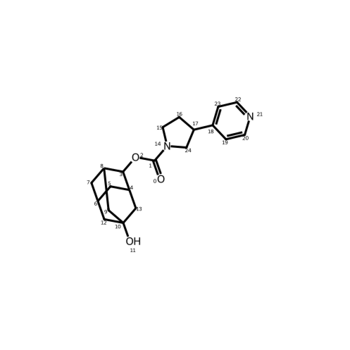 O=C(OC1C2CC3CC1CC(O)(C3)C2)N1CCC(c2ccncc2)C1